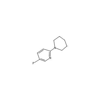 Fc1ccc(N2C[CH]CCC2)nc1